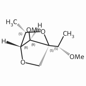 CO[C@@H](C)[C@]12CO[C@H]([C@H](C)O1)[C@H]2OC